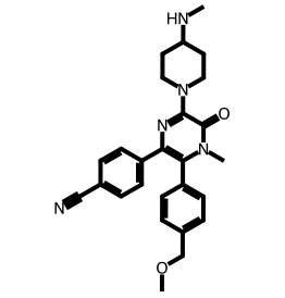 CNC1CCN(c2nc(-c3ccc(C#N)cc3)c(-c3ccc(COC)cc3)n(C)c2=O)CC1